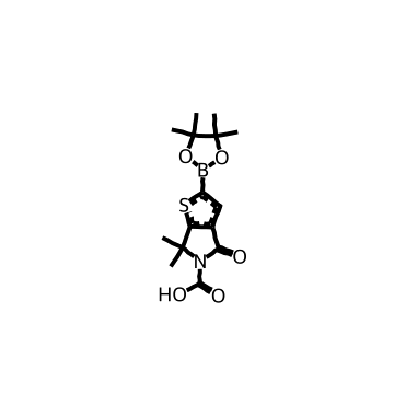 CC1(C)c2sc(B3OC(C)(C)C(C)(C)O3)cc2C(=O)N1C(=O)O